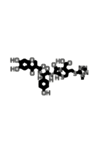 Cn1nnnc1SCC1=C(C(=O)O)N2C(=O)[C@@H](NC(=O)C(NC(=O)c3coc4cc(O)c(O)cc4c3=O)c3ccc(O)cc3)[C@@H]2SC1